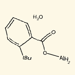 CC(C)(C)c1ccccc1C(=O)[O][AlH2].O